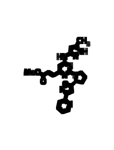 COC(=O)/C=C/c1cc(Nc2cc(C)[nH]n2)nc(N2CCC[C@H]2c2cc(-c3ccccn3)no2)n1